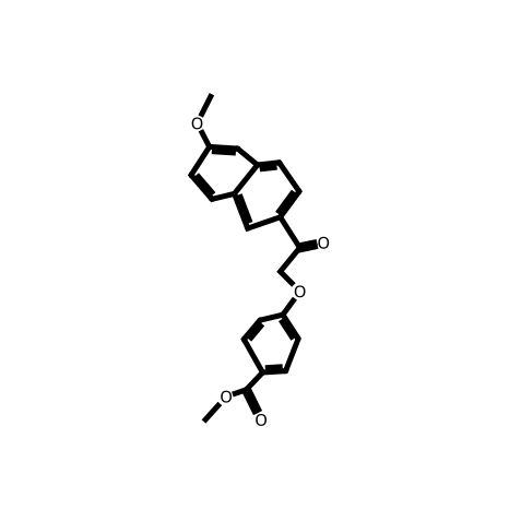 COC(=O)c1ccc(OCC(=O)c2ccc3cc(OC)ccc3c2)cc1